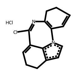 Cl.ClC1=NC2=C(C=CCC2)n2ccc3c2C1=CCC3